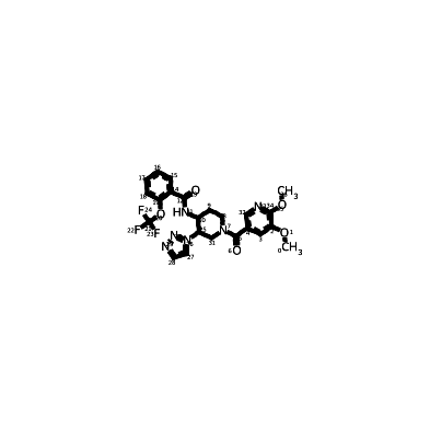 COc1cc(C(=O)N2CCC(NC(=O)c3ccccc3OC(F)(F)F)C(n3ccnn3)C2)cnc1OC